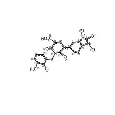 CCn1c(=O)n(CC)c2cc(-n3cc(C(=O)O)c(=O)n(Cc4cccc(C(F)(F)F)c4Cl)c3=O)ccc21